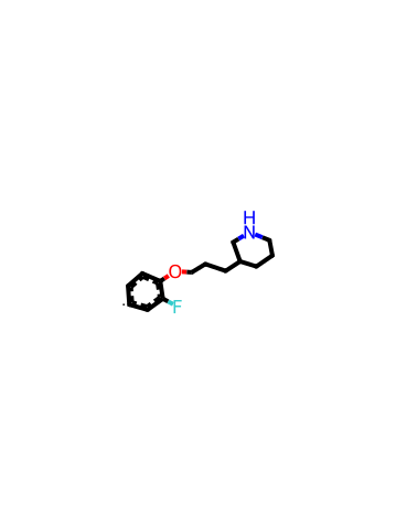 Fc1c[c]ccc1OCCCC1CCCNC1